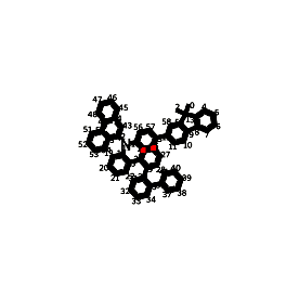 CC1(C)c2ccccc2-c2ccc(-c3ccc(N(c4ccccc4-c4ccccc4-c4ccccc4-c4ccccc4)c4cc5ccccc5c5ccccc45)cc3)cc21